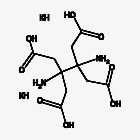 NC(CC(=O)O)(CC(=O)O)C(N)(CC(=O)O)CC(=O)O.[KH].[KH]